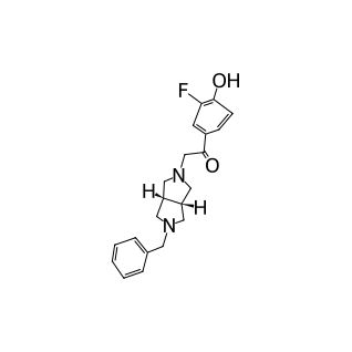 O=C(CN1C[C@@H]2CN(Cc3ccccc3)C[C@@H]2C1)c1ccc(O)c(F)c1